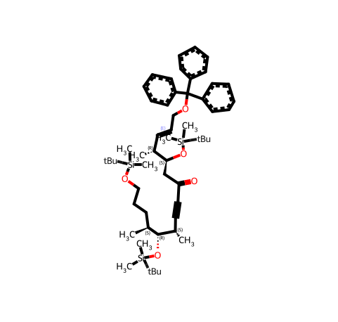 C[C@H](/C=C/COC(c1ccccc1)(c1ccccc1)c1ccccc1)[C@H](CC(=O)C#C[C@H](C)[C@H](O[Si](C)(C)C(C)(C)C)[C@@H](C)CCCO[Si](C)(C)C(C)(C)C)O[Si](C)(C)C(C)(C)C